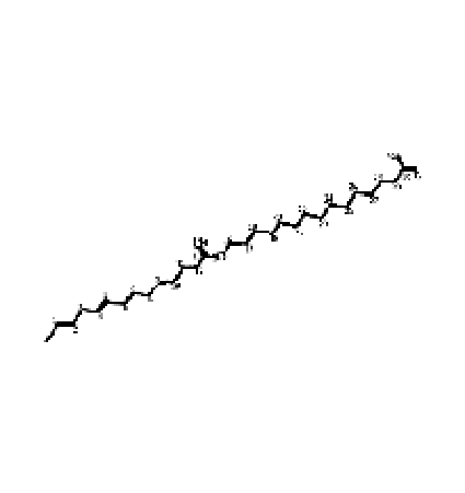 CCCCC=CCCCCCCCC(=O)OCCCCCCCCCCCCCCC(C)C